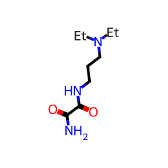 CCN(CC)CCCNC(=O)C(N)=O